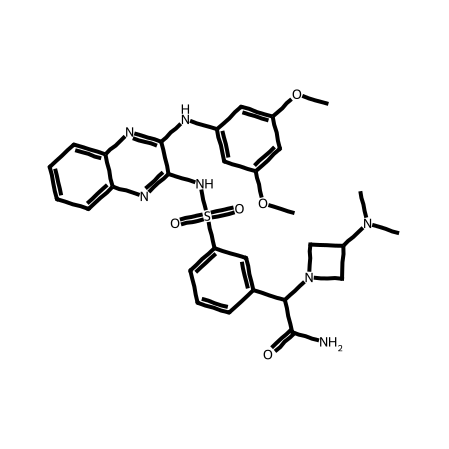 COc1cc(Nc2nc3ccccc3nc2NS(=O)(=O)c2cccc(C(C(N)=O)N3CC(N(C)C)C3)c2)cc(OC)c1